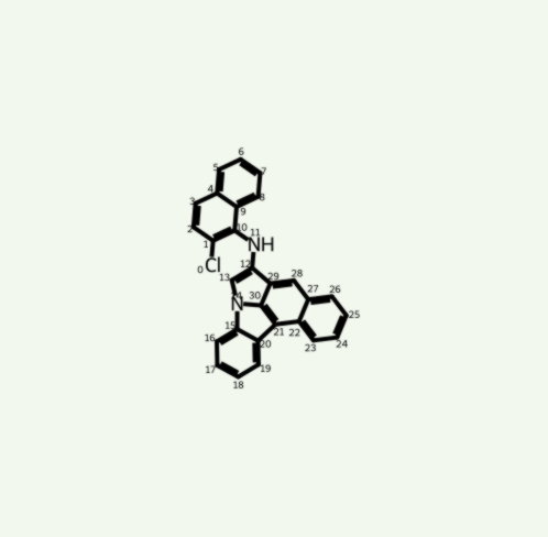 Clc1ccc2ccccc2c1Nc1cn2c3ccccc3c3c4ccccc4cc1c32